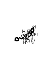 CC(C)[C@@H](NC(=O)CCc1ccccc1)C(=O)N1CC[C@](O)(c2ccc(Cl)cc2)C(C)(C)C1